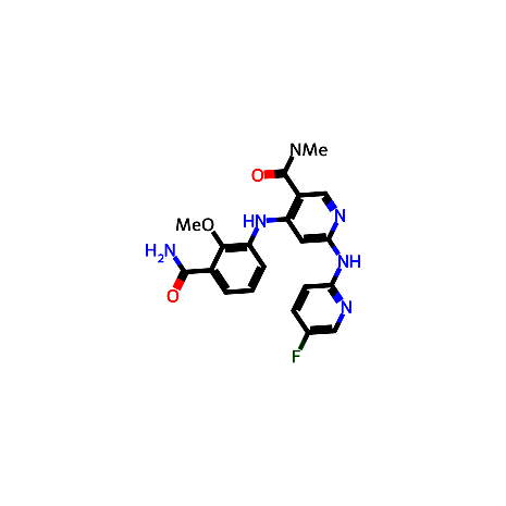 CNC(=O)c1cnc(Nc2ccc(F)cn2)cc1Nc1cccc(C(N)=O)c1OC